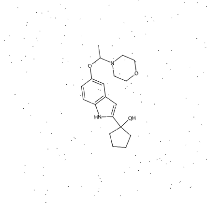 CC(Oc1ccc2[nH]c(C3(O)CCCC3)cc2c1)N1CCOCC1